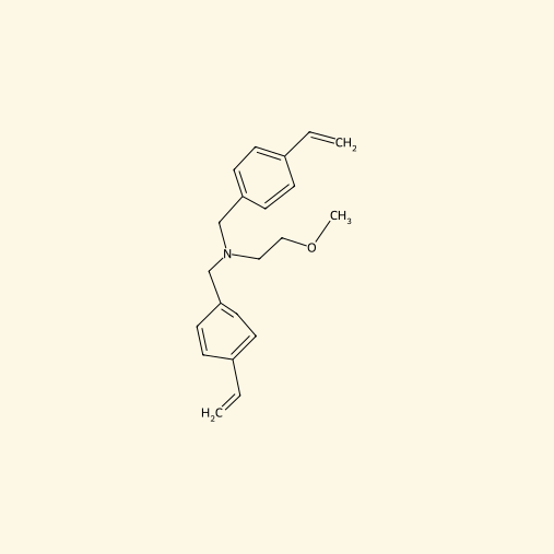 C=Cc1ccc(CN(CCOC)Cc2ccc(C=C)cc2)cc1